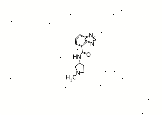 CN1CC[C@@H](NC(=O)c2cccc3nsnc23)C1